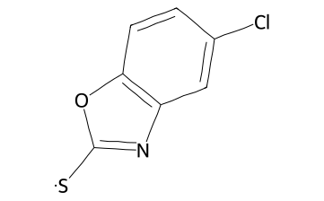 [S]c1nc2cc(Cl)ccc2o1